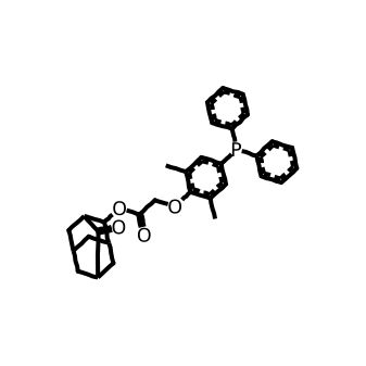 Cc1cc(P(c2ccccc2)c2ccccc2)cc(C)c1OCC(=O)OC1C2CC3CC(C2)C(=O)C1C3